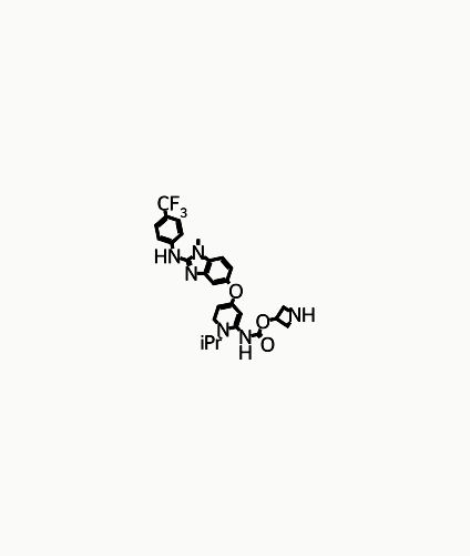 CC(C)N1CC=C(Oc2ccc3c(c2)nc(Nc2ccc(C(F)(F)F)cc2)n3C)C=C1NC(=O)OC1CNC1